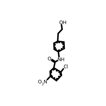 O=C(Nc1ccc(CCO)cc1)c1cc([N+](=O)[O-])ccc1Cl